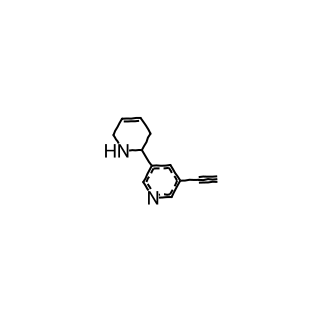 C#Cc1cncc(C2CC=CCN2)c1